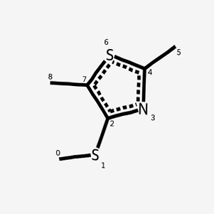 CSc1nc(C)sc1C